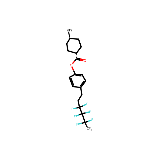 CCC[C@H]1CC[C@H](C(=O)Oc2ccc(CCC(F)(F)C(F)(F)C(F)(F)C(F)(F)F)cc2)CC1